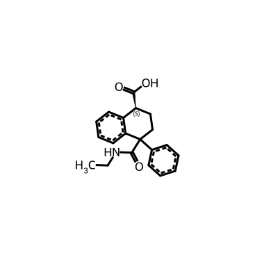 CCNC(=O)C1(c2ccccc2)CC[C@H](C(=O)O)c2ccccc21